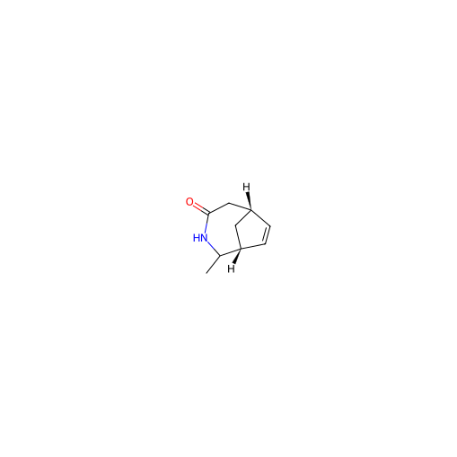 CC1NC(=O)C[C@@H]2C=C[C@H]1C2